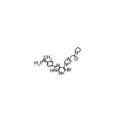 CN(C)c1ccc(-c2nc3c(N4CCN(CC(=O)N5CCCC5)CC4)c(Br)cnc3[nH]2)cc1